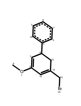 COC1=CC(c2ccccc2)CC(CBr)=C1